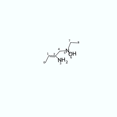 CC=C(N)CN(O)CC